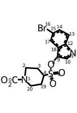 O=C(O)N1CCC(S(=O)(=O)Oc2c[nH]c3ccc(Br)cc23)CC1